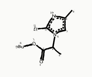 CCCCOC(=O)C(C)n1cc(C)nc1CC